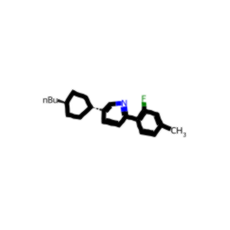 CCCC[C@H]1CC[C@H](c2ccc(-c3ccc(C)cc3F)nc2)CC1